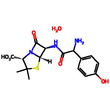 CC1(C)S[C@@H]2[C@H](NC(=O)C(N)c3ccc(O)cc3)C(=O)N2[C@H]1C(=O)O.O